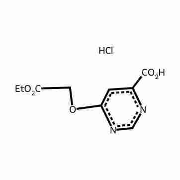 CCOC(=O)COc1cc(C(=O)O)ncn1.Cl